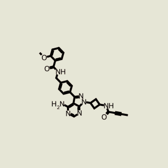 CC#CC(=O)NC1CC(n2nc(-c3ccc(CNC(=O)c4ccccc4OC)cc3)c3c(N)ncnc32)C1